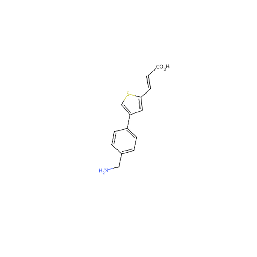 NCc1ccc(-c2csc(/C=C/C(=O)O)c2)cc1